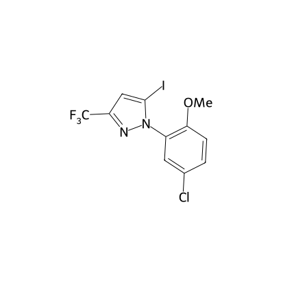 COc1ccc(Cl)cc1-n1nc(C(F)(F)F)cc1I